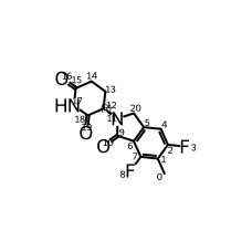 Cc1c(F)cc2c(c1F)C(=O)N([C@@H]1CCC(=O)NC1=O)C2